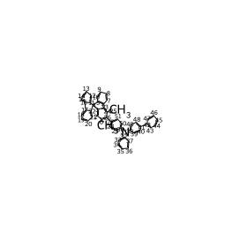 Cc1cc(C2(c3ccccc3)c3ccccc3-c3ccccc32)cc(C)c1-c1ccc(N(c2ccccc2)c2ccc(-c3ccccc3)cc2)cc1